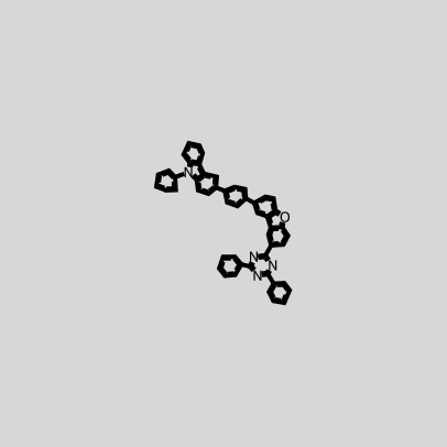 c1ccc(-c2nc(-c3ccccc3)nc(-c3ccc4oc5ccc(-c6ccc(-c7ccc8c(c7)c7ccccc7n8-c7ccccc7)cc6)cc5c4c3)n2)cc1